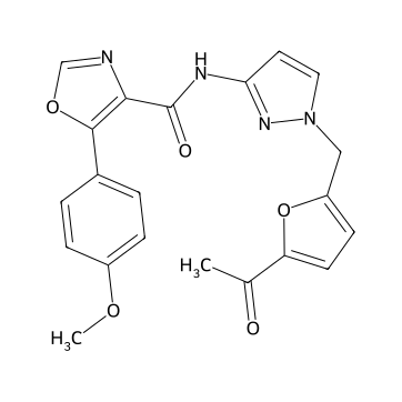 COc1ccc(-c2ocnc2C(=O)Nc2ccn(Cc3ccc(C(C)=O)o3)n2)cc1